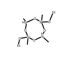 CCO[Si]1(C)O[SiH](C)O[Si](C)(OCC)O[SiH](C)O1